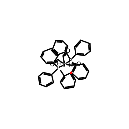 O=[CH][Ir]([CH]=O)([CH]=O)([PH](c1ccccc1)(c1ccccc1)c1ccccc1)[PH](c1ccccc1)(c1ccccc1)c1ccccc1